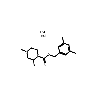 Cc1cc(COC(=O)N2CCN(C)C[C@@H]2C)cc(C)n1.Cl.Cl